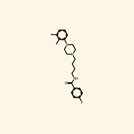 Cc1cccc(N2CCN(CCCCNC(=O)c3ccc(F)cc3)CC2)c1C